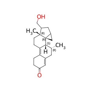 C[C@@H]1CC2=CC(=O)CCC2=C2CC[C@]3(C)C(CO)CC4C[C@]43[C@@H]21